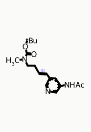 CC(=O)Nc1cncc(/C=C/CCN(C)C(=O)OC(C)(C)C)c1